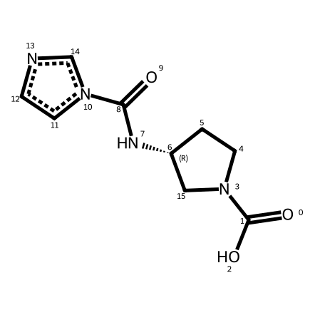 O=C(O)N1CC[C@@H](NC(=O)n2ccnc2)C1